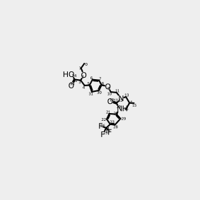 CCOC(Cc1ccc(OCCN(CC(C)C)C(=O)Nc2ccc(C(F)(F)F)cc2)cc1)C(=O)O